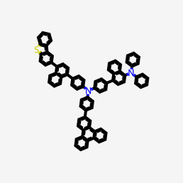 c1ccc(N(c2ccccc2)c2ccc(-c3ccc(N(c4ccc(-c5ccc6c7ccccc7c7ccccc7c6c5)cc4)c4ccc(-c5ccc(-c6ccc7sc8ccccc8c7c6)c6ccccc56)cc4)cc3)c3ccccc23)cc1